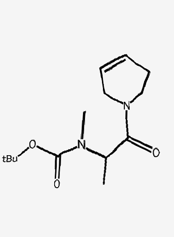 CC(C(=O)N1CC=CCC1)N(C)C(=O)OC(C)(C)C